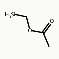 CC(=O)OC[SiH3]